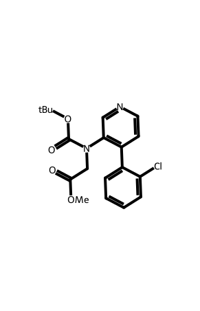 COC(=O)CN(C(=O)OC(C)(C)C)c1cnccc1-c1ccccc1Cl